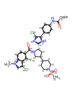 COC(=O)Nc1ccc(-c2[nH]c([C@@H]3CC(C4CCN(S(C)(=O)=O)CC4)CN3C(=O)c3ccc4c(c(Cl)cn4C)c3F)nc2Cl)cc1